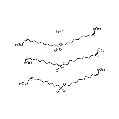 CCCCCCCC/C=C\CCCCCCCCOP(=O)([O-])CCCCCCCC/C=C\CCCCCCCC.CCCCCCCC/C=C\CCCCCCCCOP(=O)([O-])CCCCCCCC/C=C\CCCCCCCC.CCCCCCCC/C=C\CCCCCCCCOP(=O)([O-])CCCCCCCC/C=C\CCCCCCCC.[Fe+3]